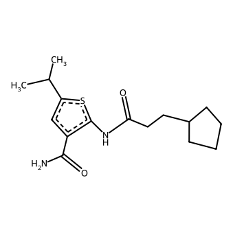 CC(C)c1cc(C(N)=O)c(NC(=O)CCC2CCCC2)s1